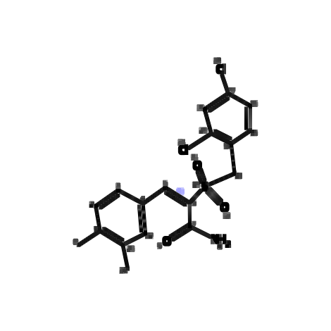 Cc1ccc(/C=C(\C(N)=O)S(=O)(=O)Cc2ccc(Cl)cc2Cl)cc1C